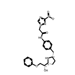 O=C(Cn1cnc([N+](=O)[O-])n1)Nc1ccc(C[C@@H]2CC[C@H]([C@H](O)COc3ccccc3)N2)cc1